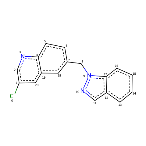 Clc1cnc2ccc(Cn3ncc4ccccc43)cc2c1